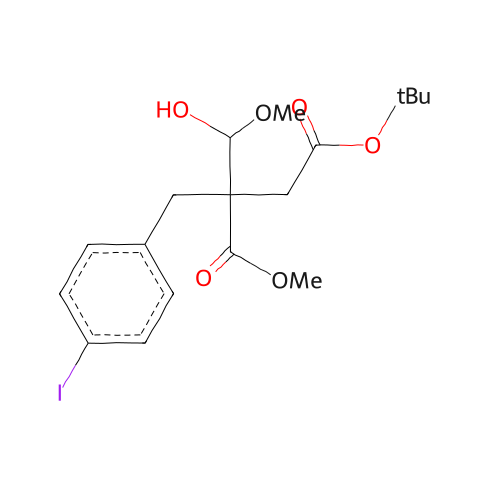 COC(=O)C(CC(=O)OC(C)(C)C)(Cc1ccc(I)cc1)C(O)OC